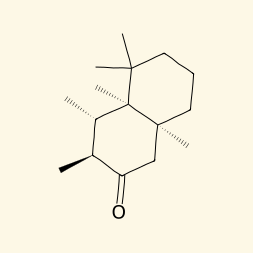 C[C@@H]1C(=O)C[C@]2(C)CCCC(C)(C)[C@]2(C)[C@H]1C